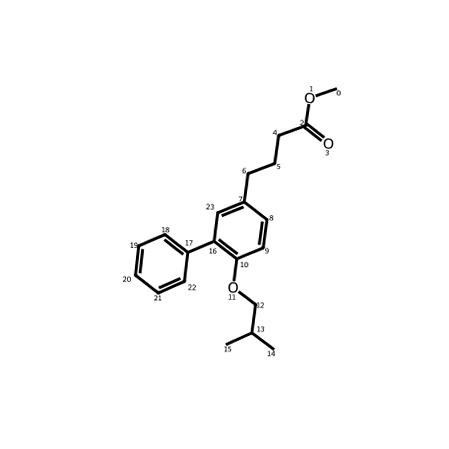 COC(=O)CCCc1ccc(OCC(C)C)c(-c2ccccc2)c1